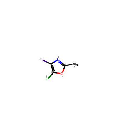 CC(C)(C)c1nc(I)c(Cl)o1